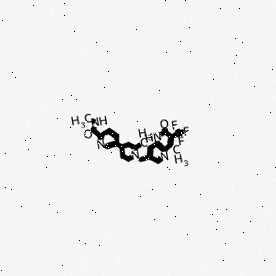 CNC(=O)c1ccc(C2CCN(Cc3cnc4c(C)c(C(F)(F)F)c(=O)[nH]c4c3)C(C)C2)cn1